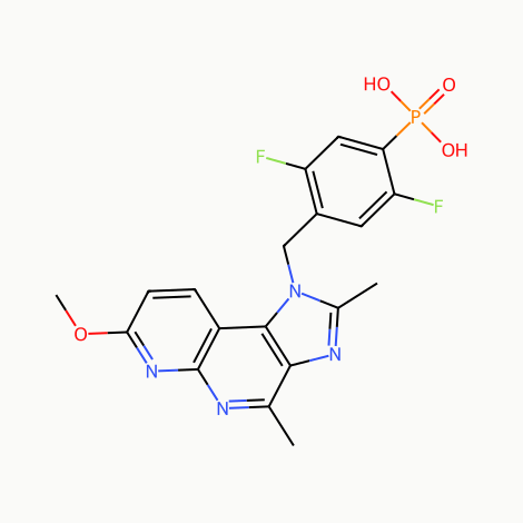 COc1ccc2c(n1)nc(C)c1nc(C)n(Cc3cc(F)c(P(=O)(O)O)cc3F)c12